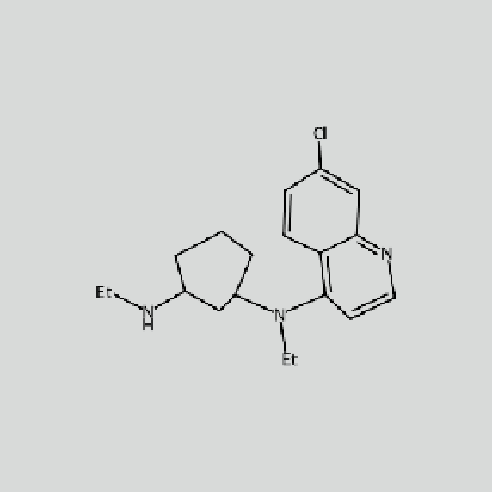 CCNC1CCCC(N(CC)c2ccnc3cc(Cl)ccc23)C1